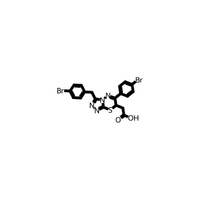 O=C(O)CC1Sc2nnc(Cc3ccc(Br)cc3)n2N=C1c1ccc(Br)cc1